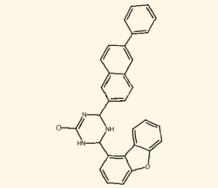 ClC1=NC(c2ccc3cc(-c4ccccc4)ccc3c2)NC(c2cccc3oc4ccccc4c23)N1